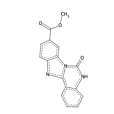 COC(=O)c1ccc2nc3c4ccccc4[nH]c(=O)n3c2c1